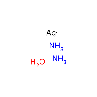 N.N.O.[Ag]